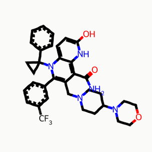 NC(=O)C1=C2NC(O)=CC=C2N(C2(c3ccccc3)CC2)C(c2cccc(C(F)(F)F)c2)=C1CN1CCC(N2CCOCC2)CC1